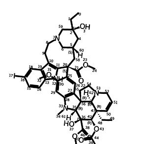 CC[C@]1(O)C[C@H]2CN(CCc3c([nH]c4ccc(I)cc34)[C@@](C(=O)OC)(c3cc4c(cc3OC)N(C)[C@H]3[C@@](O)(C(=O)OC)[C@H](OC(C)=O)[C@]5(CC)C=CCN6CC[C@]43[C@@H]65)C2)C1